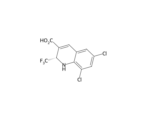 O=C(O)C1=Cc2cc(Cl)cc(Cl)c2N[C@@H]1C(F)(F)F